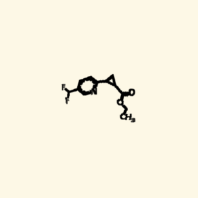 CCOC(=O)C1CC1c1ccc(C(F)F)cn1